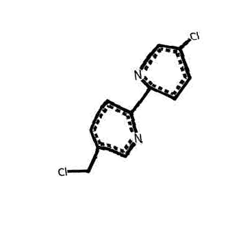 ClCc1ccc(-c2ccc(Cl)cn2)nc1